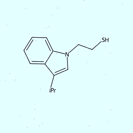 CC(C)c1cn(CCS)c2ccccc12